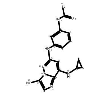 CCC(=O)Nc1cccc(Nc2cc(NC3CC3)c3ncc(C#N)n3n2)c1